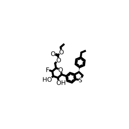 CCOC(=O)OCC1OC(c2ccc3c(c2)[C@H](c2ccc(CC)cc2)CS3)C(O)C(O)C1F